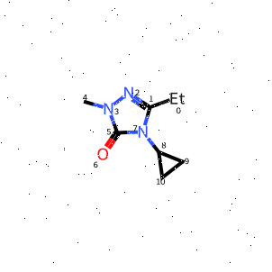 CCc1nn(C)c(=O)n1C1CC1